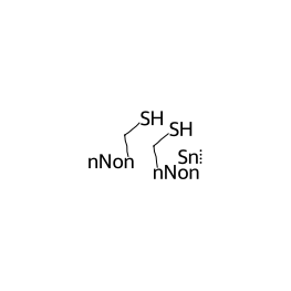 CCCCCCCCCCS.CCCCCCCCCCS.[Sn]